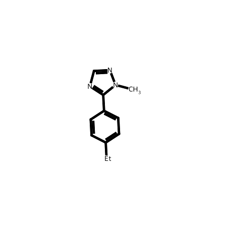 CCc1ccc(-c2ncnn2C)cc1